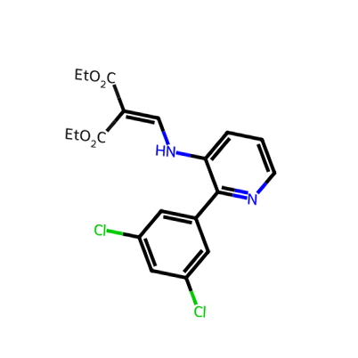 CCOC(=O)C(=CNc1cccnc1-c1cc(Cl)cc(Cl)c1)C(=O)OCC